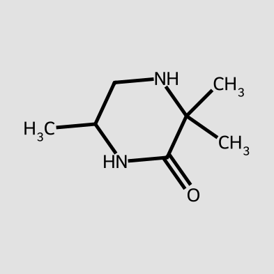 CC1CNC(C)(C)C(=O)N1